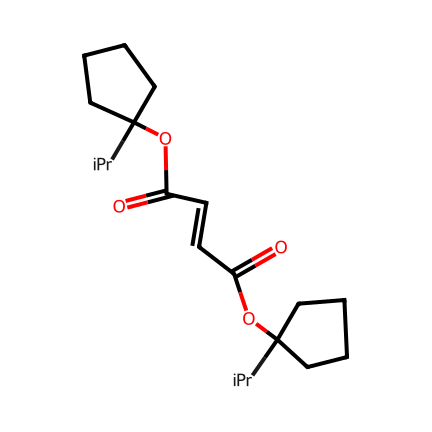 CC(C)C1(OC(=O)/C=C/C(=O)OC2(C(C)C)CCCC2)CCCC1